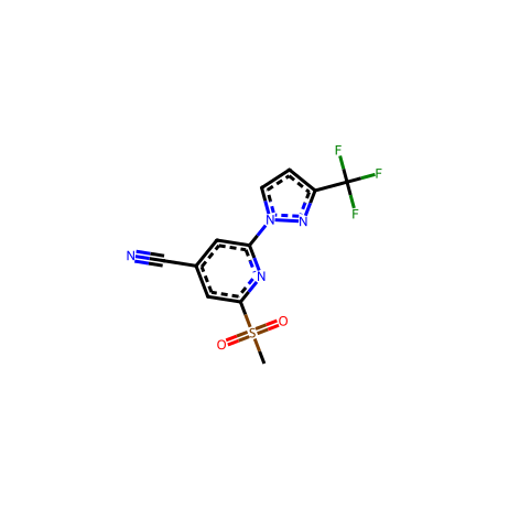 CS(=O)(=O)c1cc(C#N)cc(-n2ccc(C(F)(F)F)n2)n1